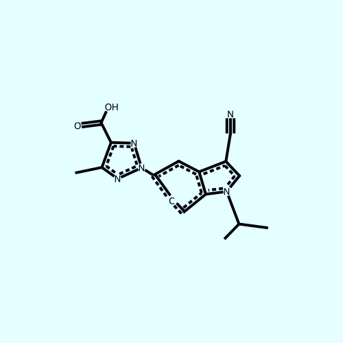 Cc1nn(-c2ccc3c(c2)c(C#N)cn3C(C)C)nc1C(=O)O